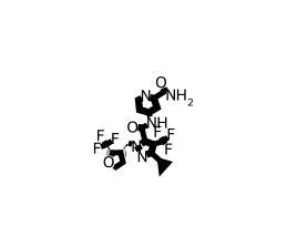 NC(=O)c1cc(NC(=O)c2c(C(F)(F)F)c(C3CC3)nn2C[C@@H]2CCO[C@@H]2C(F)(F)F)ccn1